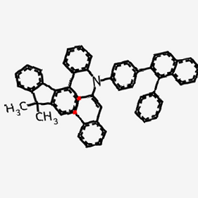 CC1(C)c2ccccc2-c2c(-c3ccccc3N(C3=Cc4ccccc4CC3)c3ccc(-c4ccc5ccccc5c4-c4ccccc4)cc3)cccc21